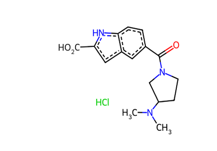 CN(C)C1CCN(C(=O)c2ccc3[nH]c(C(=O)O)cc3c2)C1.Cl